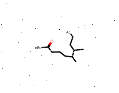 CCCCC(=O)CCCC(C)C(C)CCC(C)=O